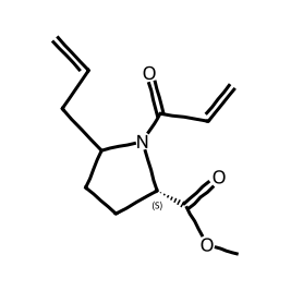 C=CCC1CC[C@@H](C(=O)OC)N1C(=O)C=C